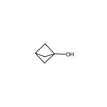 OC12C[C](C1)C2